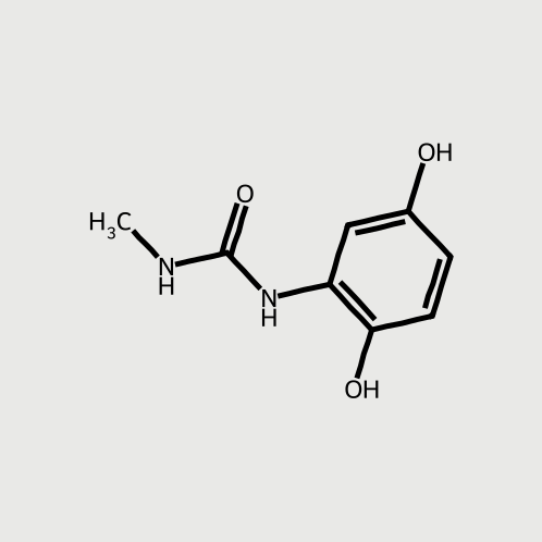 CNC(=O)Nc1cc(O)ccc1O